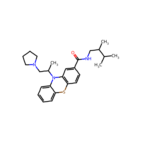 CC(C)C(C)CNC(=O)c1ccc2c(c1)N(C(C)CN1CCCC1)c1ccccc1S2